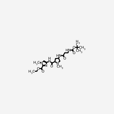 CCOC(=O)c1nc(NC(=O)C2CC(NC(=O)CCNC(=O)OC(C)(C)C)CN2C)cn1C